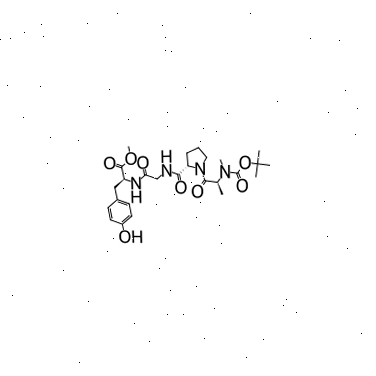 COC(=O)[C@H](Cc1ccc(O)cc1)NC(=O)CNC(=O)[C@@H]1CCCN1C(=O)[C@H](C)N(C)C(=O)OC(C)(C)C